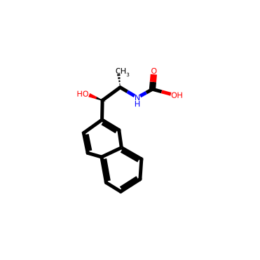 C[C@H](NC(=O)O)[C@H](O)c1ccc2ccccc2c1